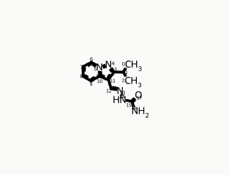 CC(C)c1nn2ccccc2c1C=NNC(N)=O